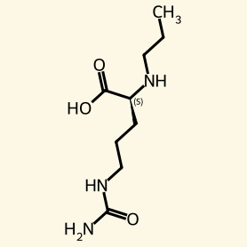 CCCN[C@@H](CCCNC(N)=O)C(=O)O